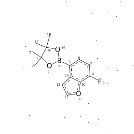 CC1(C)OB(c2ccc(F)c3occc23)OC1(C)C